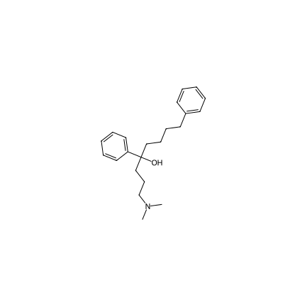 CN(C)CCCC(O)(CCCCc1ccccc1)c1ccccc1